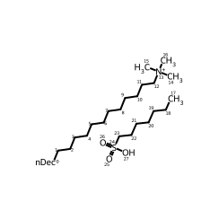 CCCCCCCCCCCCCCCCCCCCCC[N+](C)(C)C.CCCCCCCS(=O)(=O)O